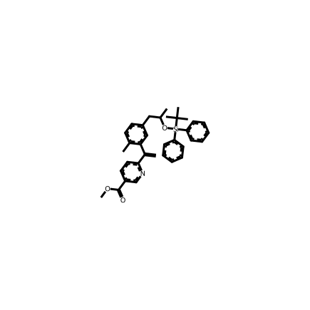 C=C(c1ccc(C(=O)OC)cn1)c1cc(CC(C)O[Si](c2ccccc2)(c2ccccc2)C(C)(C)C)ccc1C